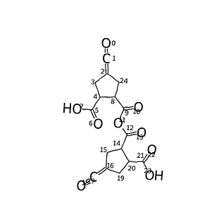 O=C=C1CC(C(=O)O)C(C(=O)OC(=O)C2CC(=C=O)CC2C(=O)O)C1